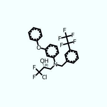 O[C@H](CN(Cc1cccc(C(F)(F)C(F)(F)F)c1)c1cccc(Oc2ccccc2)c1)C(F)(F)Cl